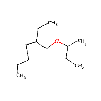 CCCCC(CC)COC(C)CC